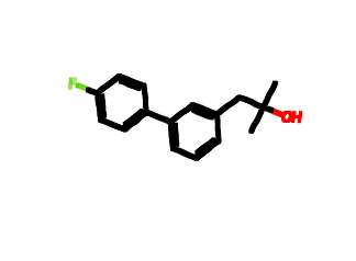 CC(C)(O)Cc1cccc(-c2ccc(F)cc2)c1